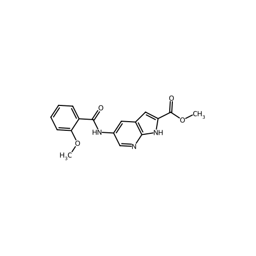 COC(=O)c1cc2cc(NC(=O)c3ccccc3OC)cnc2[nH]1